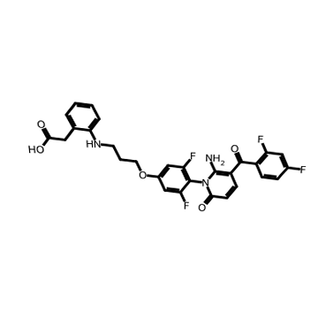 Nc1c(C(=O)c2ccc(F)cc2F)ccc(=O)n1-c1c(F)cc(OCCCNc2ccccc2CC(=O)O)cc1F